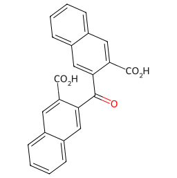 O=C(O)c1cc2ccccc2cc1C(=O)c1cc2ccccc2cc1C(=O)O